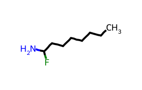 CCCCCCCC(N)F